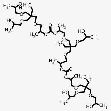 CCC(COCC(C)O)(COCC(C)O)COCC(C)OC(=O)OC(C)COCC(CC)(COCC(C)O)COCC(C)OC(=O)OC(C)COCC(CC)(COCC(C)O)COCC(C)O